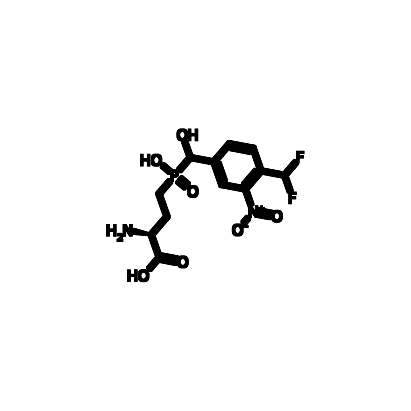 N[C@@H](CCP(=O)(O)C(O)c1ccc(C(F)F)c([N+](=O)[O-])c1)C(=O)O